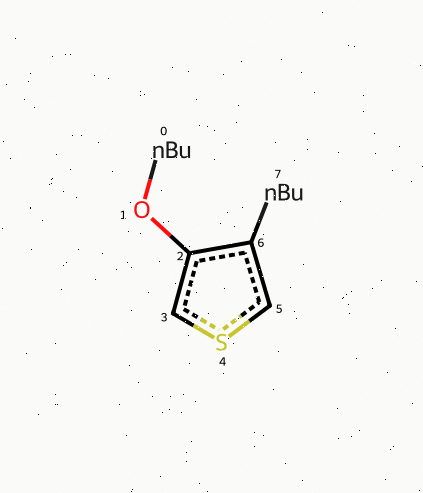 CCCCOc1cscc1CCCC